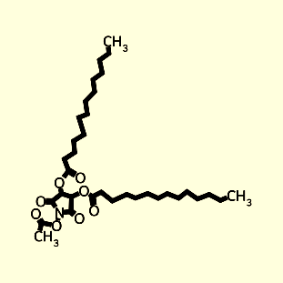 CCCCCCCCCCCCCC(=O)OC1C(=O)N(OC(C)=O)C(=O)C1OC(=O)CCCCCCCCCCCCC